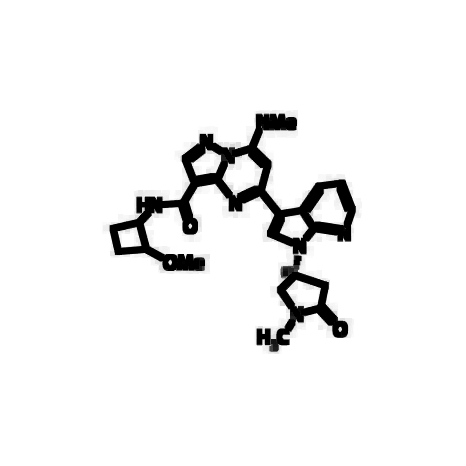 CNc1cc(-c2cn([C@@H]3CC(=O)N(C)C3)c3ncccc23)nc2c(C(=O)NC3CCC3OC)cnn12